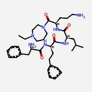 CCN1CCCN(C(=O)[C@@H](CCCN)NC(=O)[C@@H](CC(C)C)NC(=O)[C@@H](CCc2ccccc2)NC(=O)[C@H](N)Cc2ccccc2)CC1